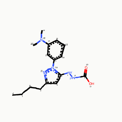 CCCCc1cc(NNC(=O)O)n(-c2cccc(N(C)C)c2)n1